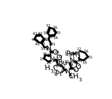 C/C(=C\[C@H](C(C)C)N(C)C(=O)[C@@H](NC(=O)[C@H]1CCCCN1C(C)C)C(C)(C)C)C(=O)N1CCC[C@H]1C(=O)N(CCc1ccccc1)Cc1ccccc1